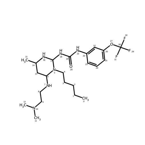 CCCCCN1C(NCCN(C)C)CC(C)NC1NC(=O)Nc1cccc(OC(F)(F)F)c1